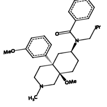 COc1cccc([C@@]23CCN(C)C[C@@]2(OC)CC[C@H](N(CC(C)C)C(=O)c2ccccc2)C3)c1